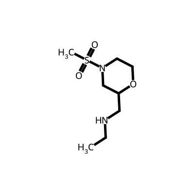 CCNCC1CN(S(C)(=O)=O)CCO1